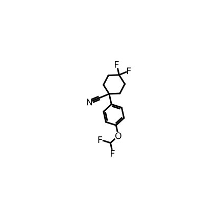 N#CC1(c2ccc(OC(F)F)cc2)CCC(F)(F)CC1